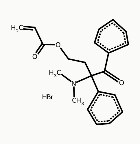 Br.C=CC(=O)OCCC(C(=O)c1ccccc1)(c1ccccc1)N(C)C